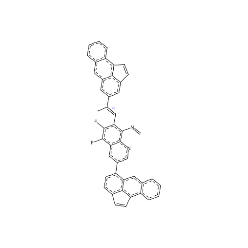 C=Nc1c(/C=C(\C)c2cc3c4c(c5ccccc5cc4c2)C=C3)c(F)c(F)c2cc(-c3ccc4c5c(c6ccccc6cc35)C=C4)cnc12